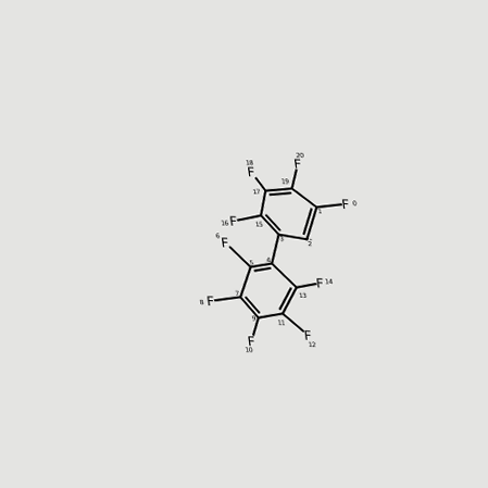 Fc1[c]c(-c2c(F)c(F)c(F)c(F)c2F)c(F)c(F)c1F